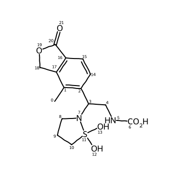 Cc1c(C(CNC(=O)O)N2CCCS2(O)O)ccc2c1COC2=O